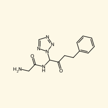 NCC(=O)NC(C(=O)CCc1ccccc1)n1ncnn1